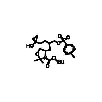 Cc1ccc(S(=O)(=O)OCC(CCC2(O)CC2)CC2COC(C)(C)N2C(=O)OC(C)(C)C)cc1